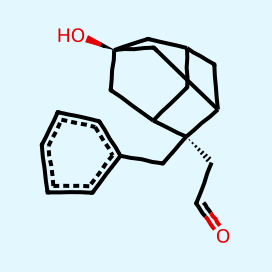 O=CC[C@]1(Cc2ccccc2)C2CC3CC1C[C@@](O)(C3)C2